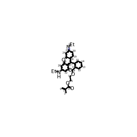 C=C(C)C(=O)OCCOC(=O)c1ccccc1-c1c2cc/c(=N\CC)cc-2oc2cc(NCC)ccc12